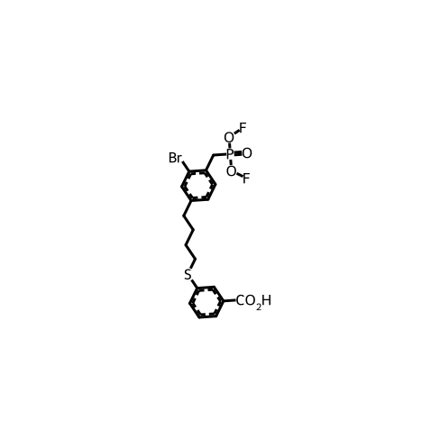 O=C(O)c1cccc(SCCCCc2ccc(CP(=O)(OF)OF)c(Br)c2)c1